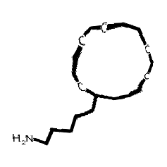 NCCCCCC1CC[CH]CCCCCCCCCCC1